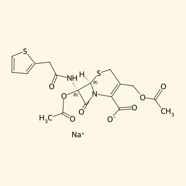 CC(=O)OCC1=C(C(=O)[O-])N2C(=O)[C@@](NC(=O)Cc3cccs3)(OC(C)=O)[C@H]2SC1.[Na+]